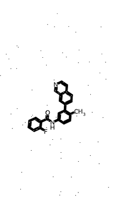 Cc1ccc(NC(=O)c2ccccc2F)cc1-c1ccc2ccncc2c1